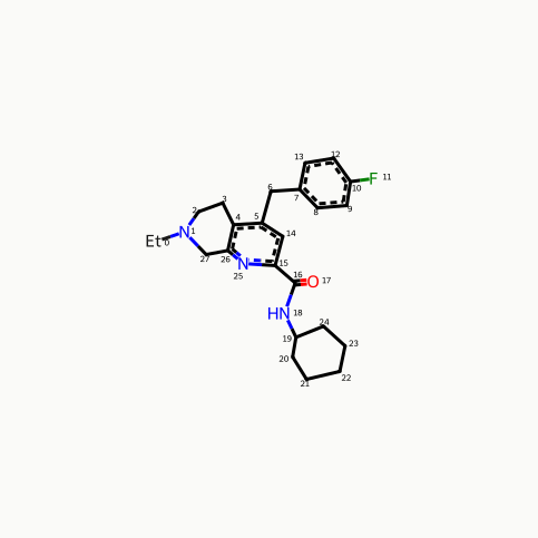 CCN1CCc2c(Cc3ccc(F)cc3)cc(C(=O)NC3CCCCC3)nc2C1